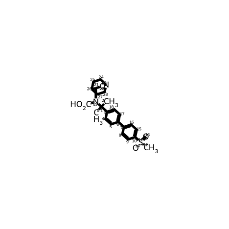 CC(C)(c1ccc(-c2ccc(S(C)(=O)=O)cc2)cc1)N(C(=O)O)C1CN2CCC1CC2